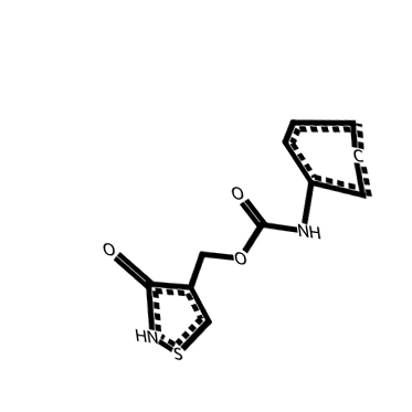 O=C(Nc1ccccc1)OCc1cs[nH]c1=O